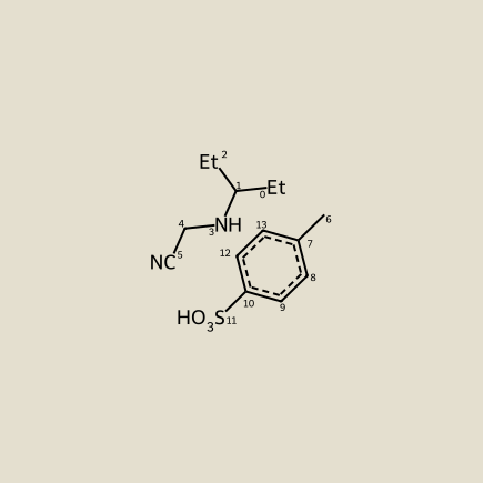 CCC(CC)NCC#N.Cc1ccc(S(=O)(=O)O)cc1